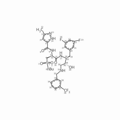 CCCCS(=O)(=O)C[C@@H](NC(=O)c1cc(C)n[nH]1)C(=O)N[C@@H](Cc1cc(F)cc(F)c1)[C@H](O)CNCc1cccc(C(F)(F)F)c1